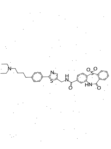 CCN(CC)CCCCc1ccc(-c2ncc(CNC(=O)c3ccc4c(c3)NC(=O)c3ccccc3S4(=O)=O)s2)cc1